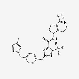 Cc1cnn(Cc2ccc(Cn3cc(C(=O)N[C@@H]4CCc5c4ccnc5N)c(C(F)(F)F)n3)cc2)c1